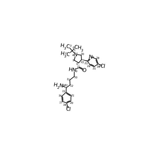 CC(C)(C)N1C[C@@H](C(=O)NCCC[C@H](N)c2ccc(Cl)cc2)[C@H](c2ccc(Cl)cn2)C1